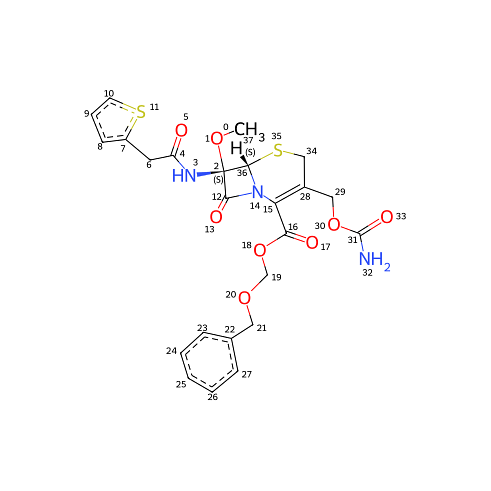 CO[C@@]1(NC(=O)Cc2cccs2)C(=O)N2C(C(=O)OCOCc3ccccc3)=C(COC(N)=O)CS[C@H]21